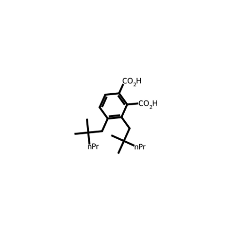 CCCC(C)(C)Cc1ccc(C(=O)O)c(C(=O)O)c1CC(C)(C)CCC